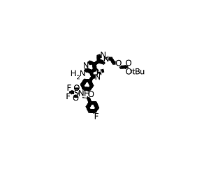 C[C@H](Oc1cc(-c2nn(C)c3c(-c4cnn(CCOCC(=O)OC(C)(C)C)c4)cnc(N)c23)ccc1NS(=O)(=O)C(F)F)c1ccc(F)cc1